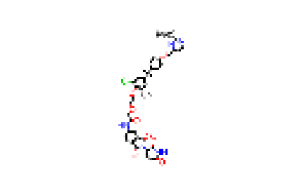 CSc1nccc(COc2ccc(C(C)(C)c3cc(Cl)c(OCCOCC(=O)Nc4ccc5c(c4)C(=O)N(C4CCC(=O)NC4=O)C5=O)c(C#N)c3)cc2)n1